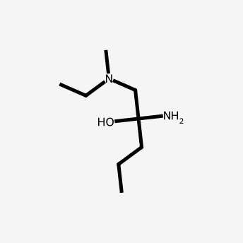 CCCC(N)(O)CN(C)CC